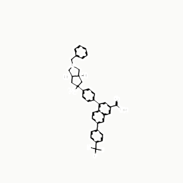 O=C(O)c1cc(-c2ccc(C3(O)C[C@H]4CN(Cc5ccccc5)C[C@@H]4C3)cc2)c2ccc(-c3ccc(C(F)(F)F)cc3)cc2c1